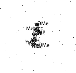 CNC(=O)c1cc(-c2cnn(CCOC)c2)ccc1Nc1nc(Nc2ccc(CO[PH](=O)OCc3ccc(Nc4ncc(C(F)(F)F)c(Nc5ccc(-c6cnn(CCOC)c6)cc5C(=O)NC)n4)cc3)cc2)ncc1C(F)(F)F